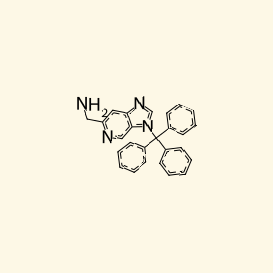 NCc1cc2ncn(C(c3ccccc3)(c3ccccc3)c3ccccc3)c2cn1